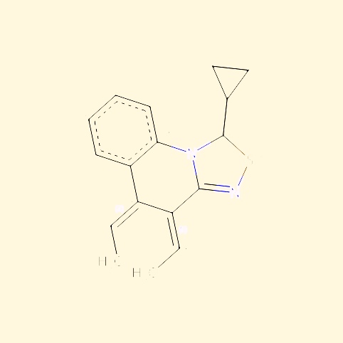 C/C=C1\C(=C/C)C2=NSC(C3CC3)N2c2ccccc21